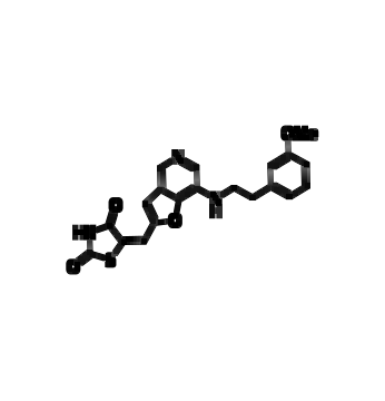 COc1cccc(CCNc2cncc3cc(/C=C4/SC(=O)NC4=O)oc23)c1